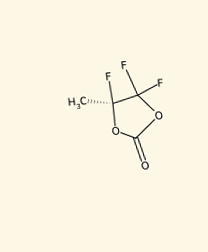 C[C@@]1(F)OC(=O)OC1(F)F